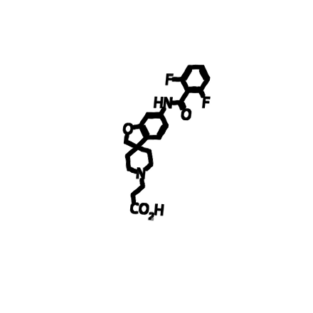 O=C(O)CCN1CCC2(CC1)COc1cc(NC(=O)c3c(F)cccc3F)ccc12